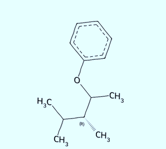 CC(C)[C@@H](C)C(C)Oc1ccccc1